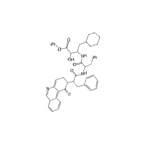 CC(C)CC(NC(=O)C(Cc1ccccc1)C1CC=C2N=CC3C=CC=CC3=C2C1=O)C(=O)NC(CC1CCCCC1)C(O)C(=O)OC(C)C